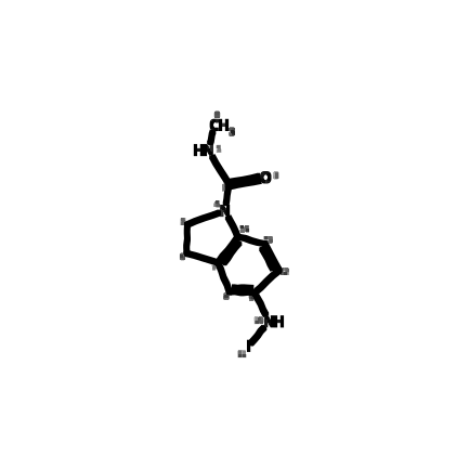 CNC(=O)N1CCc2cc(NI)ccc21